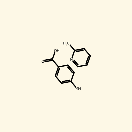 Cc1ccccn1.O=C(O)c1ccc(S)cc1